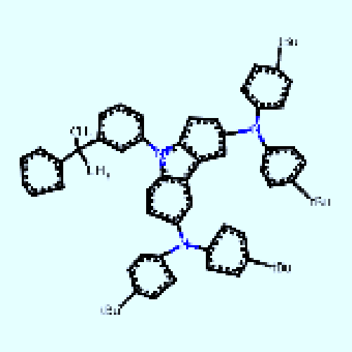 CC(C)(C)c1ccc(N(c2ccc(C(C)(C)C)cc2)c2ccc3c(c2)c2cc(N(c4ccc(C(C)(C)C)cc4)c4ccc(C(C)(C)C)cc4)ccc2n3-c2cccc(C(C)(C)c3ccccc3)c2)cc1